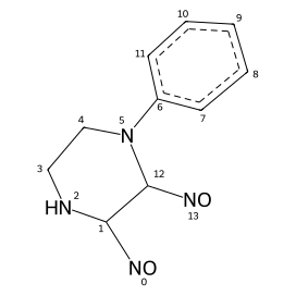 O=NC1NCCN(c2ccccc2)C1N=O